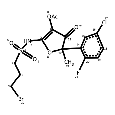 CC(=O)OC1=C(NS(=O)(=O)CCCBr)OC(C)(c2cc(Cl)ccc2F)C1=O